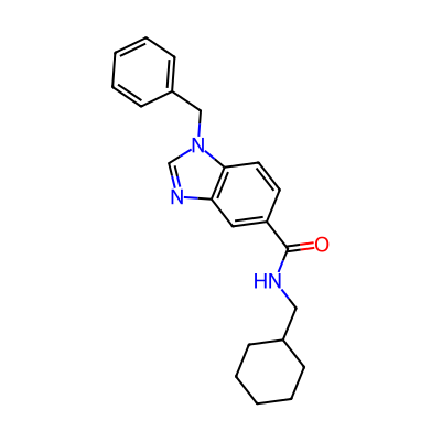 O=C(NCC1CCCCC1)c1ccc2c(c1)ncn2Cc1ccccc1